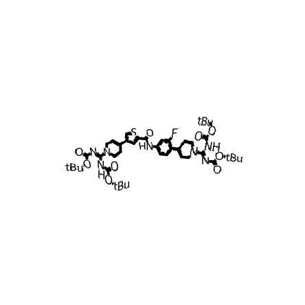 CC(C)(C)OC(=O)N=C(NC(=O)OC(C)(C)C)N1CC=C(c2csc(C(=O)Nc3ccc(C4=CCN(C(=NC(=O)OC(C)(C)C)NC(=O)OC(C)(C)C)CC4)c(F)c3)c2)CC1